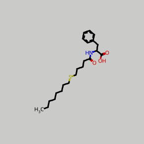 CCCCCCCCSCCCCC(=O)NC(Cc1ccccc1)C(=O)O